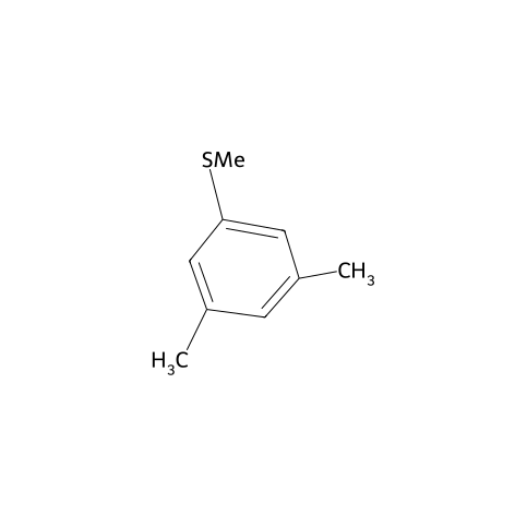 CSc1cc(C)cc(C)c1